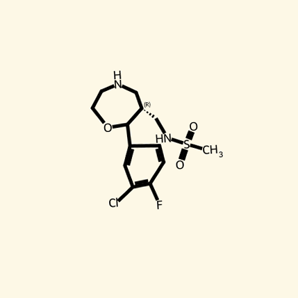 CS(=O)(=O)NC[C@H]1CNCCOC1c1ccc(F)c(Cl)c1